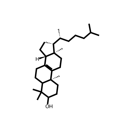 CC(C)CCC[C@@H](C)[C@H]1CC[C@H]2C3=C(CC[C@]12C)[C@@]1(C)CCC(O)C(C)(C)C1CC3